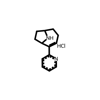 C1=C(c2ccccn2)C2CCC(CC1)N2.Cl